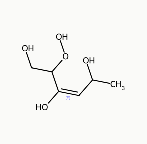 CC(O)/C=C(/O)C(CO)OO